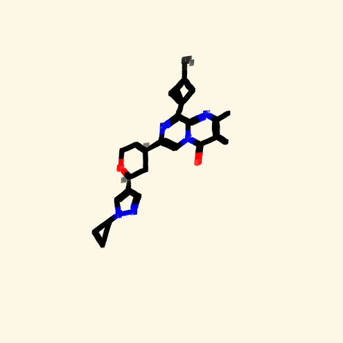 Cc1nc2c(C34CC(C(F)(F)F)(C3)C4)nc([C@@H]3CCO[C@@H](c4cnn(C5CC5)c4)C3)cn2c(=O)c1C